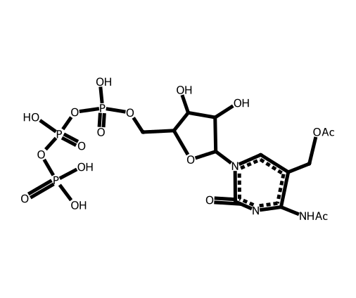 CC(=O)Nc1nc(=O)n(C2OC(COP(=O)(O)OP(=O)(O)OP(=O)(O)O)C(O)C2O)cc1COC(C)=O